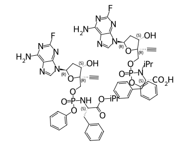 C#C[C@]1(COP(=O)(N[C@@H](Cc2ccccc2)C(=O)OC(C)C)Oc2ccccc2)O[C@@H](n2cnc3c(N)nc(F)nc32)C[C@@H]1O.C#C[C@]1(COP(=O)(Oc2ccccc2)N(C(C)C)[C@@H](Cc2ccccc2)C(=O)O)O[C@@H](n2cnc3c(N)nc(F)nc32)C[C@@H]1O